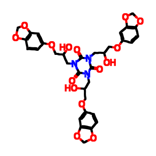 O=c1n(CC(O)COc2ccc3c(c2)OCO3)c(=O)n(CC(O)COc2ccc3c(c2)OCO3)c(=O)n1CC(O)COc1ccc2c(c1)OCO2